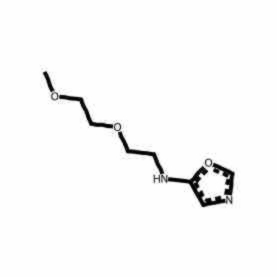 COCCOCCNc1cnco1